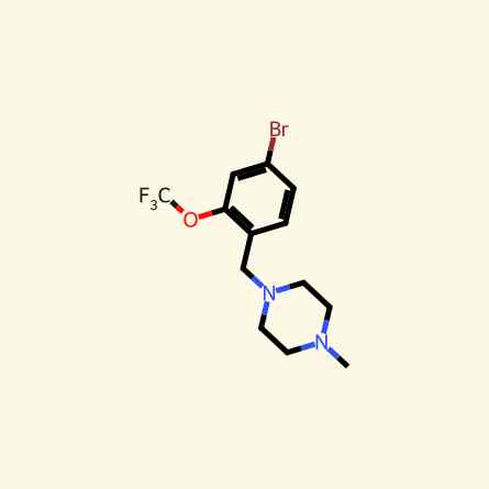 CN1CCN(Cc2ccc(Br)cc2OC(F)(F)F)CC1